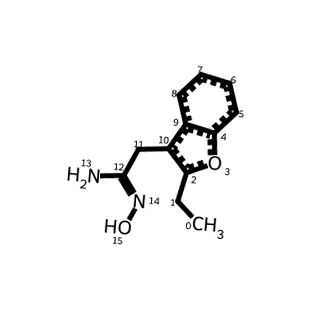 CCc1oc2ccccc2c1CC(N)=NO